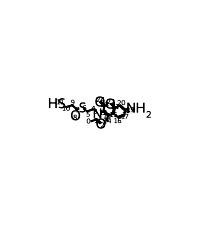 CC(=O)N(CCSC(=O)CCS)c1c(C)c2ccc(N)cc2oc1=O